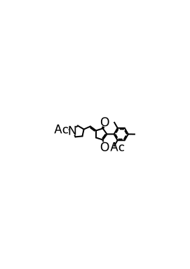 CC(=O)OC1=C(c2c(C)cc(C)cc2C)C(=O)/C(=C/C2CCN(C(C)=O)C2)C1